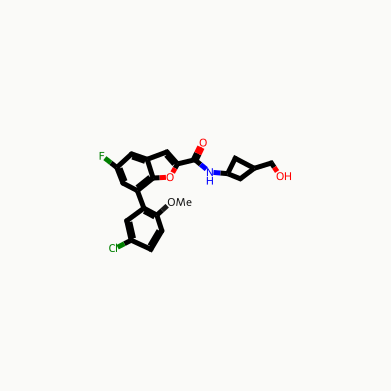 COc1ccc(Cl)cc1-c1cc(F)cc2cc(C(=O)NC3CC(CO)C3)oc12